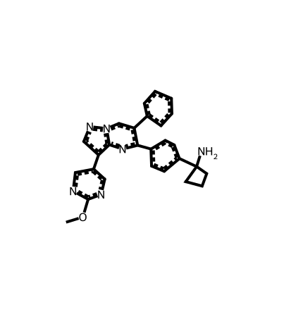 COc1ncc(-c2cnn3cc(-c4ccccc4)c(-c4ccc(C5(N)CCC5)cc4)nc23)cn1